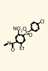 C=NC(=O)c1cc([N+](=O)[O-])c(S(=O)(=O)c2ccc(Cl)cc2)cc1CC